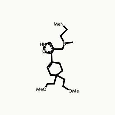 CNCCN(C)Cc1c[nH]nc1C1=CCC(CCOC)(CCOC)CC1